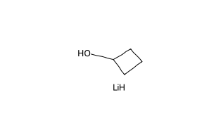 OC1CCC1.[LiH]